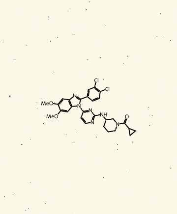 COc1cc2nc(-c3ccc(Cl)c(Cl)c3)n(-c3ccnc(NC4CCCN(C(=O)C5CC5)C4)n3)c2cc1OC